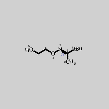 C/C(=N\OCCO)C(C)(C)C